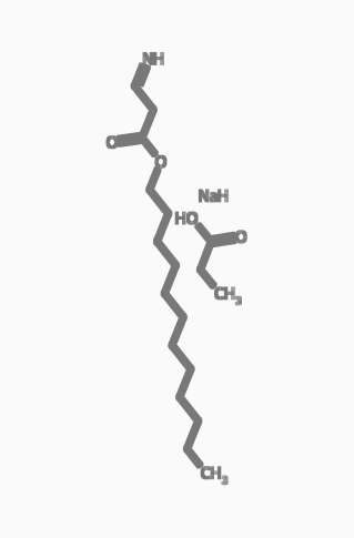 CCC(=O)O.CCCCCCCCCCCCOC(=O)CC=N.[NaH]